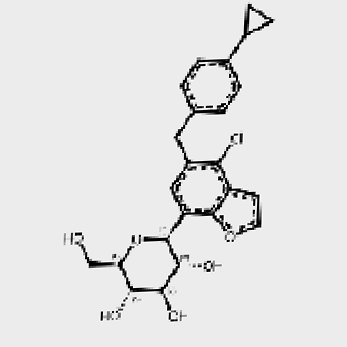 OC[C@H]1O[C@@H](c2cc(Cc3ccc(C4CC4)cc3)c(Cl)c3ccoc23)[C@H](O)[C@@H](O)[C@@H]1O